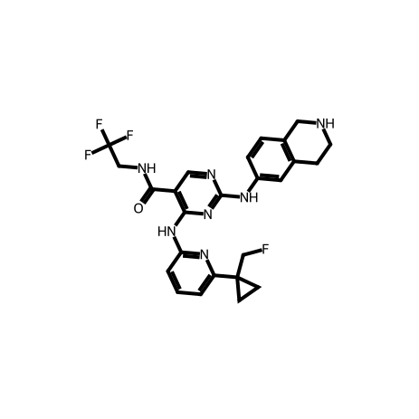 O=C(NCC(F)(F)F)c1cnc(Nc2ccc3c(c2)CCNC3)nc1Nc1cccc(C2(CF)CC2)n1